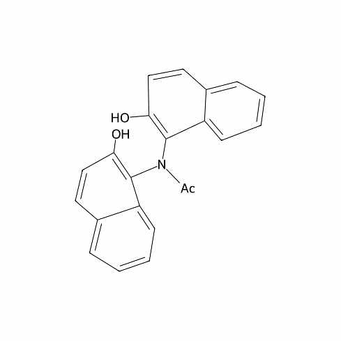 CC(=O)N(c1c(O)ccc2ccccc12)c1c(O)ccc2ccccc12